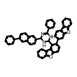 c1ccc(C2=NC(c3ccc4cc(-c5ccccc5)ccc4c3)NC(c3c(-c4ccc5c(c4)oc4ccccc45)ccc4oc5ccccc5c34)N2)cc1